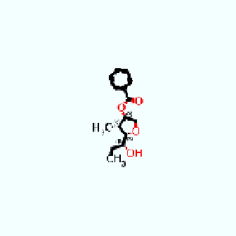 CC[C@@H](O)[C@H]1OC[C@H](OC(=O)c2ccccc2)[C@H]1C